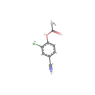 CC(=O)Oc1ccc(C#N)cc1Br